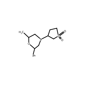 CC1CN(C2CCS(=O)(=O)C2)CC(C(C)C)O1